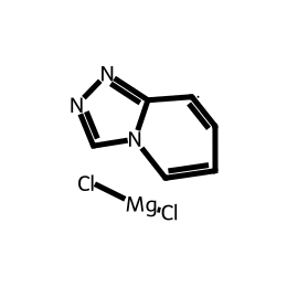 [Cl][Mg][Cl].[c]1cccn2cnnc12